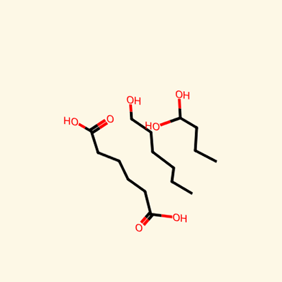 CCCC(O)O.CCCCCCO.O=C(O)CCCCC(=O)O